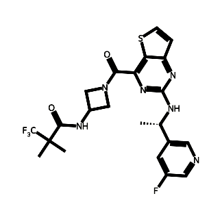 C[C@H](Nc1nc(C(=O)N2CC(NC(=O)C(C)(C)C(F)(F)F)C2)c2sccc2n1)c1cncc(F)c1